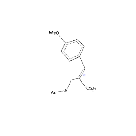 COc1ccc(/C=C(\CSC(C)=O)C(=O)O)cc1